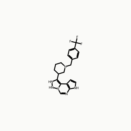 FC(F)(F)c1ccc(CN2CCCC(C3=C4c5cc[nH]c5N=CN4NN3)C2)cc1